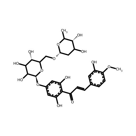 COc1ccc(/C=C/C(=O)c2c(O)cc(O[C@@H]3OC(CO[C@H]4CC(O)[C@@H](O)C(C)O4)[C@@H](O)C(O)C3O)cc2O)cc1O